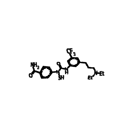 CCN(CC)CCCc1cc(NC(=O)N(S)c2ccc(C(N)=O)cc2)cc(C(F)(F)F)c1